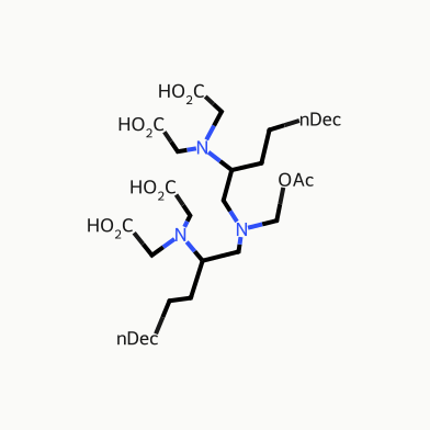 CCCCCCCCCCCCC(CN(COC(C)=O)CC(CCCCCCCCCCCC)N(CC(=O)O)CC(=O)O)N(CC(=O)O)CC(=O)O